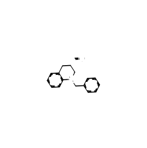 O=C[C@H]1Cc2ccccc2N(Cc2ccccc2)C1